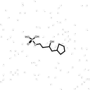 O=P(O)(O)OCCC(O)CC1CCCC1